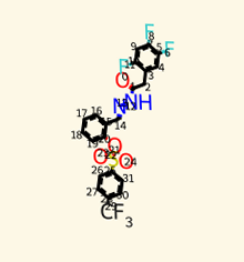 O=C(Cc1cc(F)c(F)cc1F)N/N=C/c1ccccc1OS(=O)(=O)c1ccc(C(F)(F)F)cc1